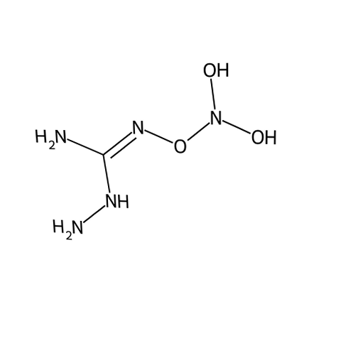 NN/C(N)=N\ON(O)O